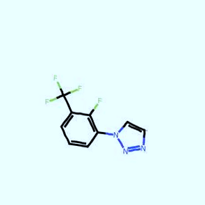 Fc1c(-n2c[c]nn2)cccc1C(F)(F)F